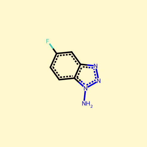 Nn1nnc2cc(F)ccc21